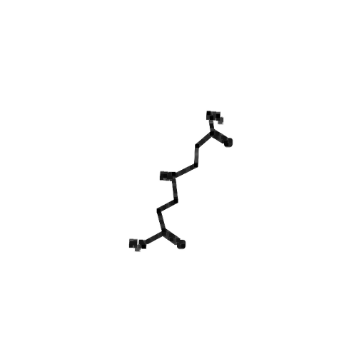 NC(=O)C[CH2][AlH][CH2]CC(N)=O